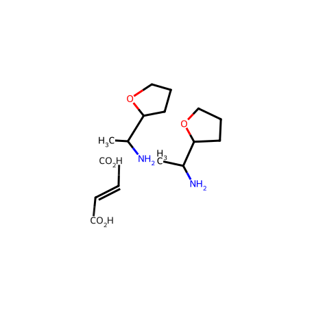 CC(N)C1CCCO1.CC(N)C1CCCO1.O=C(O)C=CC(=O)O